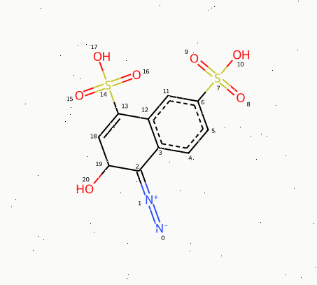 [N-]=[N+]=C1c2ccc(S(=O)(=O)O)cc2C(S(=O)(=O)O)=CC1O